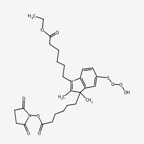 CCOC(=O)CCCCC[N+]1=C(C)C(C)(CCCCCC(=O)ON2C(=O)CCC2=O)c2cc(SOOO)ccc21